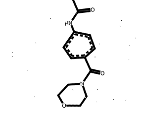 O=C(O)Nc1ccc(C(=O)N2CCOCC2)cc1